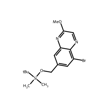 COc1cnc2c(Br)cc(CO[Si](C)(C)C(C)(C)C)cc2n1